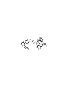 COc1ccccc1C1CCC(CCCCCCN(Cc2ccccn2)Cc2ccccc2OC(C)(C)C)CC1